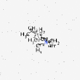 C=CCN(CC(C)C(C)(C)CCC=C(C)C)C(=C)C(C)C